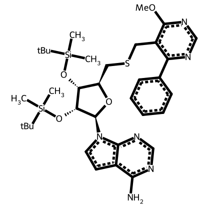 COc1ncnc(-c2ccccc2)c1CSC[C@H]1O[C@@H](n2ccc3c(N)ncnc32)[C@H](O[Si](C)(C)C(C)(C)C)[C@@H]1O[Si](C)(C)C(C)(C)C